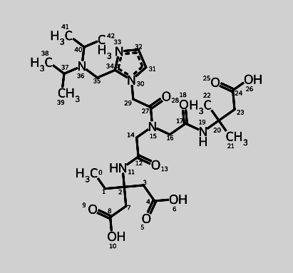 CCC(CC(=O)O)(CC(=O)O)NC(=O)CN(CC(=O)NC(C)(C)CC(=O)O)C(=O)Cn1ccnc1CN(C(C)C)C(C)C